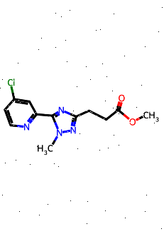 COC(=O)CCc1nc(-c2cc(Cl)ccn2)n(C)n1